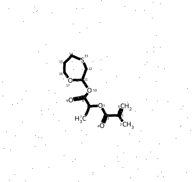 C=C(C)C(=O)OC(C)C(=O)OC1CSCCCO1